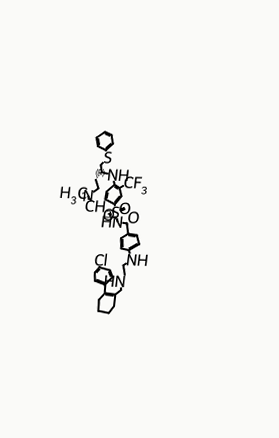 CN(C)CC[C@H](CSc1ccccc1)Nc1ccc(S(=O)(=O)NC(=O)c2ccc(NCCNCC3=C(c4ccc(Cl)cc4)CCCC3)cc2)cc1C(F)(F)F